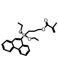 C=C(C)C(=O)OCCC[Si](OCC)(OCC)c1cc2ccccc2c2ccccc12